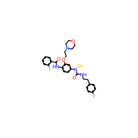 O=C(Nc1ccc(N(S)C(=O)NCCc2ccc(F)cc2)cc1OCCN1CCOCC1)c1ccccc1F